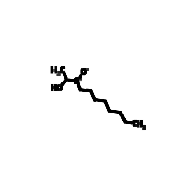 CCCCCCCC[S+]([O-])C(C)O